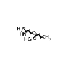 CCCC(=O)OCCC(=N)N.Cl